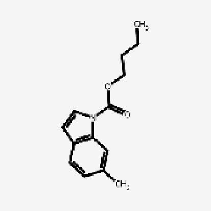 CCCCOC(=O)n1ccc2ccc(C)cc21